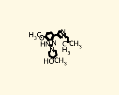 COc1ccc(-c2cnn(CC(C)C)c2)c2nc(N3CCC(C)(O)CC3)[nH]c12